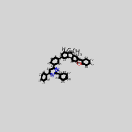 CC1(C)c2ccc(-c3cccc(-c4cc(-c5ccccc5)nc(-c5ccccc5)n4)c3)cc2-c2cc3oc4ccccc4c3cc21